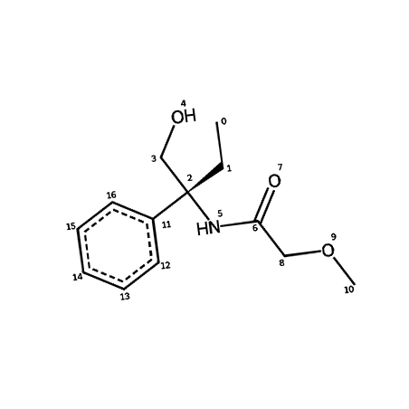 CC[C@@](CO)(NC(=O)COC)c1ccccc1